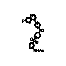 CC(=O)Nc1cccc(S(=O)(=O)N2CCC(C(=O)N3CCN(c4ccnc5cc(F)ccc45)CC3)CC2)c1